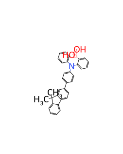 CC1(C)c2ccccc2-c2ccc(-c3ccc(N(c4ccccc4)c4ccccc4B(O)O)cc3)cc21